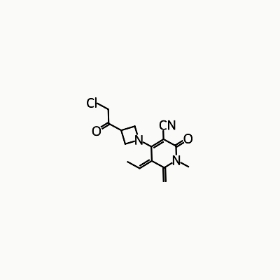 C=c1c(=CC)c(N2CC(C(=O)CCl)C2)c(C#N)c(=O)n1C